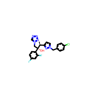 C[C@@H](c1ccn(Cc2ccc(Cl)cc2)n1)[C@](O)(Cn1cnnn1)c1ccc(F)cc1F